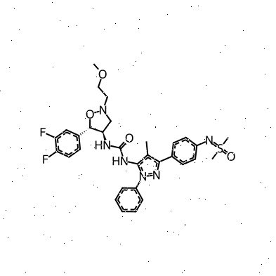 COCCN1C[C@@H](NC(=O)Nc2c(C)c(-c3ccc(N=S(C)(C)=O)cc3)nn2-c2ccccc2)[C@H](c2ccc(F)c(F)c2)O1